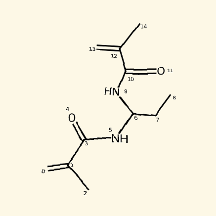 C=C(C)C(=O)NC(CC)NC(=O)C(=C)C